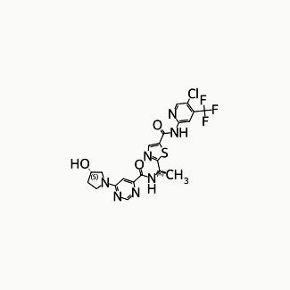 C[C@@H](NC(=O)c1cc(N2CC[C@H](O)C2)ncn1)c1ncc(C(=O)Nc2cc(C(F)(F)F)c(Cl)cn2)s1